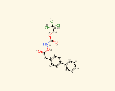 O=C(Cc1ccc(-c2ccccc2)cc1)ONC(=O)OCC(Cl)(Cl)Cl